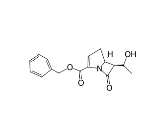 CC(O)[C@H]1C(=O)N2C(C(=O)OCc3ccccc3)=CC[C@@H]12